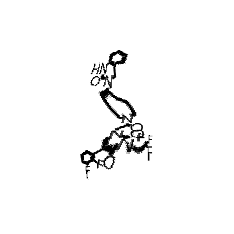 O=C(Cn1cc(-c2cccc(F)c2F)c(=O)n(CC(F)(F)F)c1=O)N1CCC(N2Cc3ccccc3NC2=O)CC1